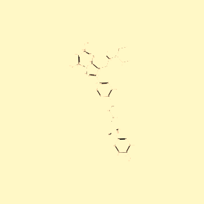 CCN(CC)C(=O)Cc1c(-c2ccc(OCCOS(=O)(=O)c3ccc(C)cc3)cc2)nn2c(C)cc(C)nc12